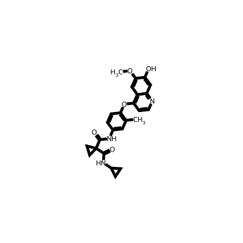 COc1cc2c(Oc3ccc(NC(=O)C4(C(=O)NC5CC5)CC4)cc3C)ccnc2cc1O